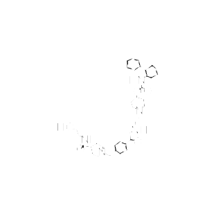 O=C(Nc1ccccc1-c1ccccc1)OC1CCN(CCNCC(=O)c2ccc(CN3CCC(C(=O)NCCO)CC3)cc2)CC1